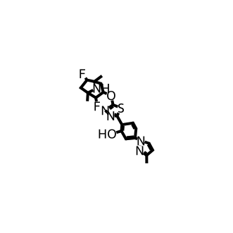 Cc1ccn(-c2ccc(-c3nnc(OC4CC5(C)NC(C)(CC5F)C4F)s3)c(O)c2)n1